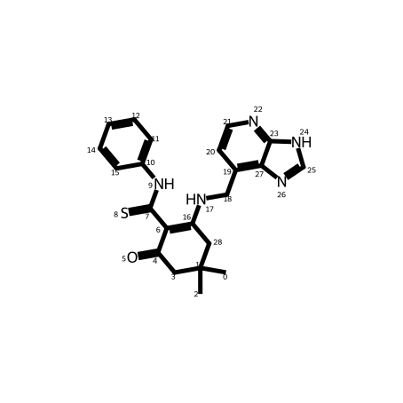 CC1(C)CC(=O)C(C(=S)Nc2ccccc2)=C(NCc2ccnc3[nH]cnc23)C1